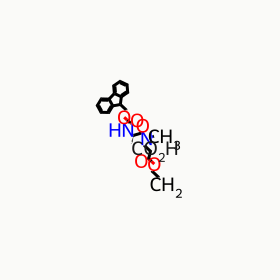 C=CCOC(=O)CCN(C)C(=O)[C@H](CC(=O)O)NC(=O)OCC1c2ccccc2-c2ccccc21